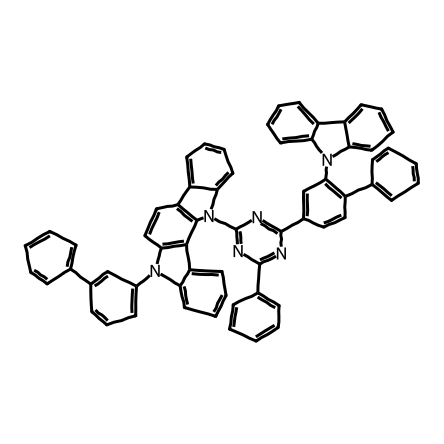 c1ccc(-c2cccc(-n3c4ccccc4c4c3ccc3c5ccccc5n(-c5nc(-c6ccccc6)nc(-c6ccc(-c7ccccc7)c(-n7c8ccccc8c8ccccc87)c6)n5)c34)c2)cc1